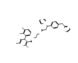 CC1=C(C(=O)O)C(c2cccc(Cl)c2Cl)C(C(=O)OCCOC(=O)CC(c2ccc(Cc3ncc[nH]3)cc2)n2ccnc2)=C(C)N1